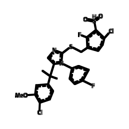 COc1cc(C(C)(C)c2cnc(SCc3ccc(Cl)c([SH](=O)=O)c3F)n2-c2ccc(F)cc2)ccc1Cl